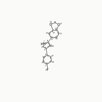 Fc1ccc(-c2c[nH]c(-c3ccc4c(c3)OCO4)n2)cc1